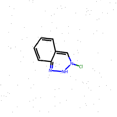 ClN1C=c2ccccc2=NN1